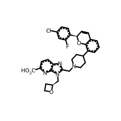 O=C(O)c1ccc2nc(CN3CCC(c4cccc5c4O[C@@H](c4ccc(Cl)cc4F)C=C5)CC3)n(C[C@@H]3CCO3)c2n1